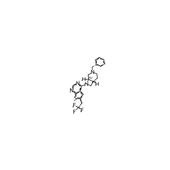 FC(F)(F)Cc1cc2c(N3C[C@H]4CCN(Cc5ccccc5)C[C@H]43)ncnc2s1